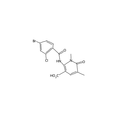 Cc1cc(C(=O)O)c(NC(=O)c2ccc(Br)cc2Cl)n(C)c1=O